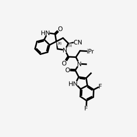 Cc1c(C(=O)N(C)C(CC(C)C)C(=O)N2C[C@]3(C[C@H]2C#N)C(=O)Nc2ccccc23)[nH]c2cc(F)cc(F)c12